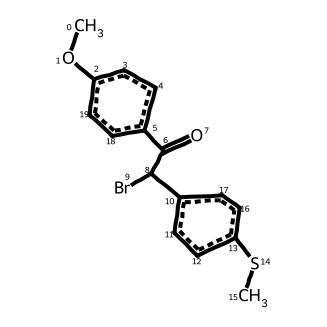 COc1ccc(C(=O)C(Br)c2ccc(SC)cc2)cc1